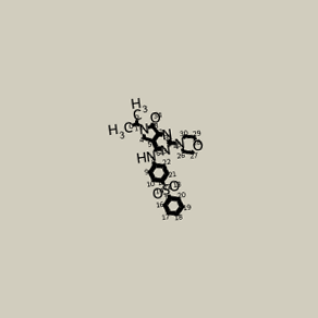 CC(C)N1Cc2c(Nc3ccc(S(=O)(=O)c4ccccc4)cc3)nc(N3CCOCC3)nc2C1=O